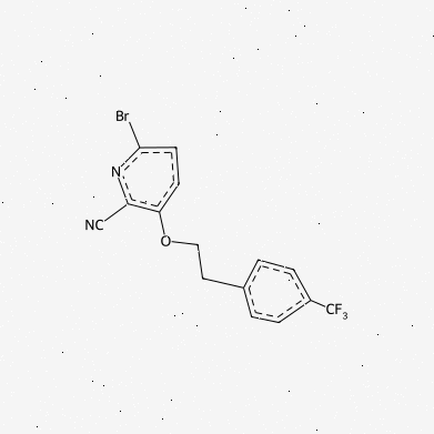 N#Cc1nc(Br)ccc1OCCc1ccc(C(F)(F)F)cc1